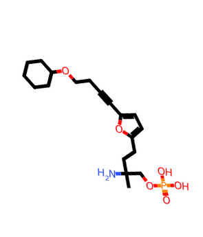 CC(N)(CCc1ccc(C#CCCOC2CCCCC2)o1)COP(=O)(O)O